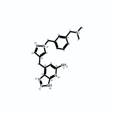 CN(C)Cc1cccc(Cn2cc(Cc3cc(N)nc4[nH]nnc34)cn2)c1